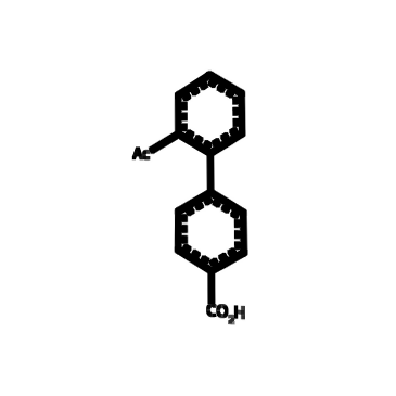 CC(=O)c1ccccc1-c1ccc(C(=O)O)cc1